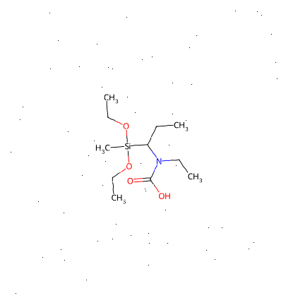 CCO[Si](C)(OCC)C(CC)N(CC)C(=O)O